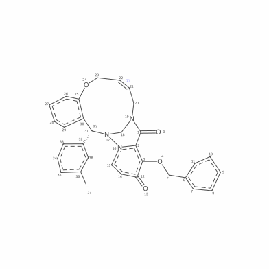 O=C1c2c(OCc3ccccc3)c(=O)ccn2N2CN1C/C=C\COc1ccccc1[C@H]2c1cccc(F)c1